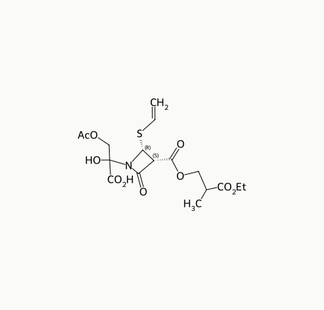 C=CS[C@@H]1[C@H](C(=O)OCC(C)C(=O)OCC)C(=O)N1C(O)(COC(C)=O)C(=O)O